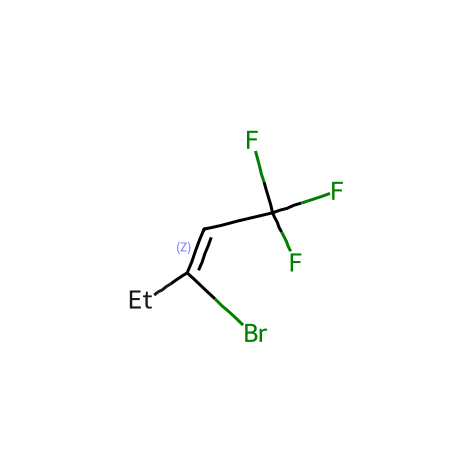 CC/C(Br)=C/C(F)(F)F